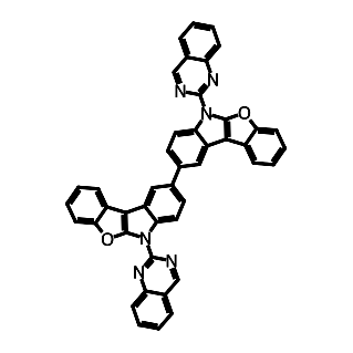 c1ccc2nc(-n3c4ccc(-c5ccc6c(c5)c5c7ccccc7oc5n6-c5ncc6ccccc6n5)cc4c4c5ccccc5oc43)ncc2c1